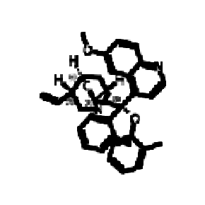 C=C[C@H]1CN2CC[C@H]1C[C@@H]2[C@](Oc1ccccc1C)(c1ccccc1C)c1ccnc2ccc(OC)cc12